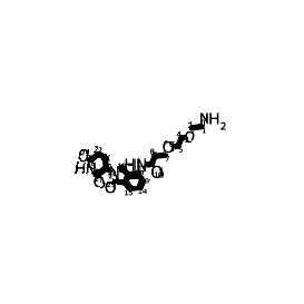 NCCOCCOCCC(=O)Nc1cccc2c1CN(C1CCC(=O)NC1=O)C2=O